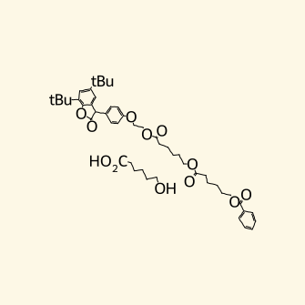 CC(C)(C)c1cc2c(c(C(C)(C)C)c1)OC(=O)C2c1ccc(OCCOC(=O)CCCCCOC(=O)CCCCCOC(=O)c2ccccc2)cc1.O=C(O)CCCCCO